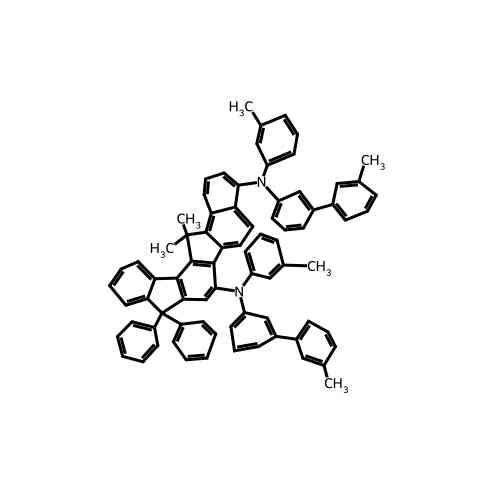 Cc1cccc(-c2cccc(N(c3cccc(C)c3)c3cc4c(c5c3-c3ccc6c(N(c7cccc(C)c7)c7cccc(-c8cccc(C)c8)c7)cccc6c3C5(C)C)-c3ccccc3C4(c3ccccc3)c3ccccc3)c2)c1